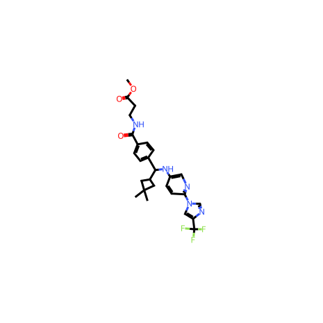 COC(=O)CCNC(=O)c1ccc(C(Nc2ccc(-n3cnc(C(F)(F)F)c3)nc2)C2CC(C)(C)C2)cc1